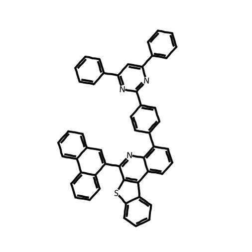 c1ccc(-c2cc(-c3ccccc3)nc(-c3ccc(-c4cccc5c4nc(-c4cc6ccccc6c6ccccc46)c4sc6ccccc6c45)cc3)n2)cc1